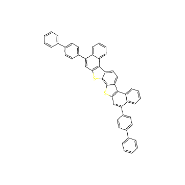 c1ccc(-c2ccc(-c3cc4sc5c(ccc6c5sc5cc(-c7ccc(-c8ccccc8)cc7)c7ccccc7c56)c4c4ccccc34)cc2)cc1